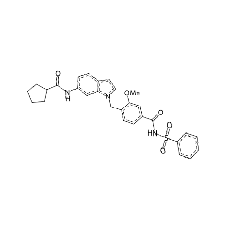 COc1cc(C(=O)NS(=O)(=O)c2ccccc2)ccc1Cn1ccc2ccc(NC(=O)C3CCCC3)cc21